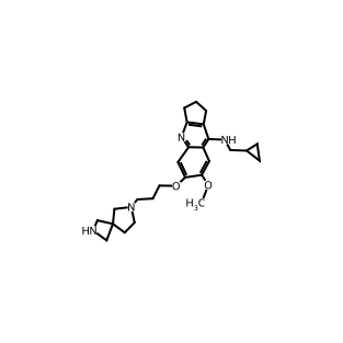 COc1cc2c(NCC3CC3)c3c(nc2cc1OCCCN1CCC2(CNC2)C1)CCC3